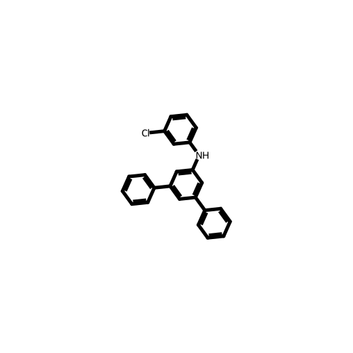 Clc1cccc(Nc2cc(-c3ccccc3)cc(-c3ccccc3)c2)c1